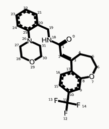 O=C(C=C1CCCOc2cc(C(F)(F)F)ccc21)NCc1ccccc1N1CCOCC1